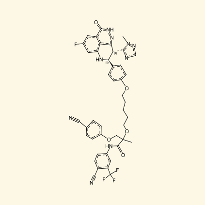 Cn1ncnc1[C@H]1c2n[nH]c(=O)c3cc(F)cc(c23)N[C@@H]1c1ccc(OCCCCCOC(C)(COc2ccc(C#N)cc2)C(=O)Nc2ccc(C#N)c(C(F)(F)F)c2)cc1